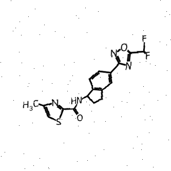 Cc1csc(C(=O)NC2CCc3cc(-c4noc(C(F)F)n4)ccc32)n1